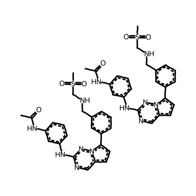 CC(=O)Nc1cccc(Nc2ncc3ccc(-c4cccc(CNCS(C)(=O)=O)c4)n3n2)c1.CC(=O)Nc1cccc(Nc2ncc3ccc(-c4cccc(CNCS(C)(=O)=O)c4)n3n2)c1